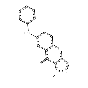 Cn1ncc2[nH]c3ccc(Nc4ccccc4)cc3c(=O)c21